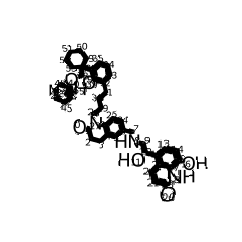 O=C1CCc2cc(CNCC(O)c3ccc(O)c4[nH]c(=O)ccc34)ccc2N1CCCCc1cccc(C2(C(=O)O[C@H]3CN4CCC3CC4)CCCCC2)c1